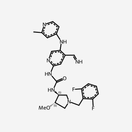 CO[C@H]1CN(Cc2c(F)cccc2F)C[C@@H]1NC(=O)Nc1cc(C=N)c(Nc2ccnc(C)c2)cn1